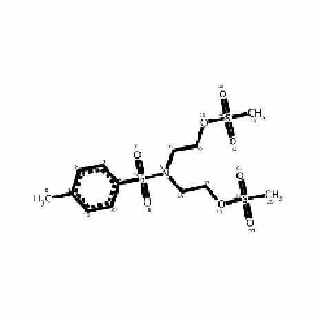 Cc1ccc(S(=O)(=O)N(CCOS(C)(=O)=O)CCOS(C)(=O)=O)cc1